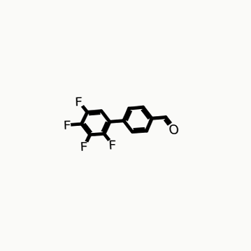 O=Cc1ccc(-c2cc(F)c(F)c(F)c2F)cc1